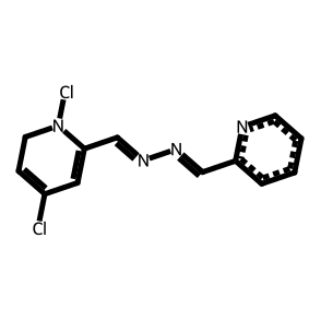 ClC1=CCN(Cl)C(C=NN=Cc2ccccn2)=C1